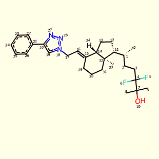 C[C@H](CCC(F)(F)C(C)(C)O)[C@H]1CC[C@H]2/C(=C/Cn3cc(-c4ccccc4)nn3)CCC[C@]12C